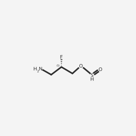 NC[C@H](F)CO[SH]=O